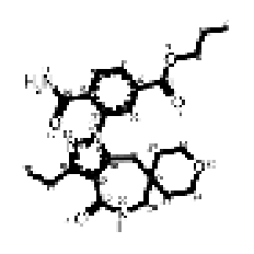 CCCOC(=O)c1ccc(C(N)=O)c(-n2nc(CC)c3c2CC2(CCOCC2)CNC3=O)c1